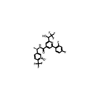 C[C@@H](NC(=O)c1cc(-c2ccc(F)cc2F)nc(C(O)C(F)(F)F)c1)c1ccc(C(F)(F)F)[n+]([O-])c1